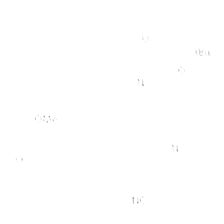 [C-]#[N+]c1ccc(C(=O)OC)cc1-c1cncc2c1ccn2C(=O)OC(C)(C)C